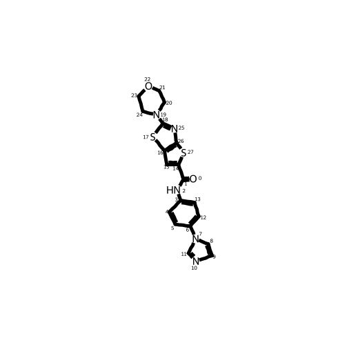 O=C(Nc1ccc(-n2ccnc2)cc1)c1cc2sc(N3CCOCC3)nc2s1